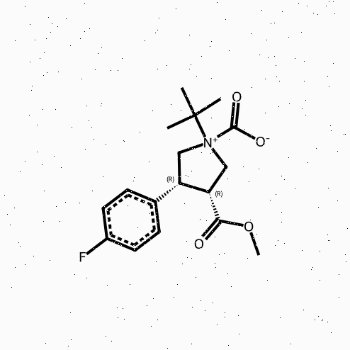 COC(=O)[C@H]1C[N+](C(=O)[O-])(C(C)(C)C)C[C@H]1c1ccc(F)cc1